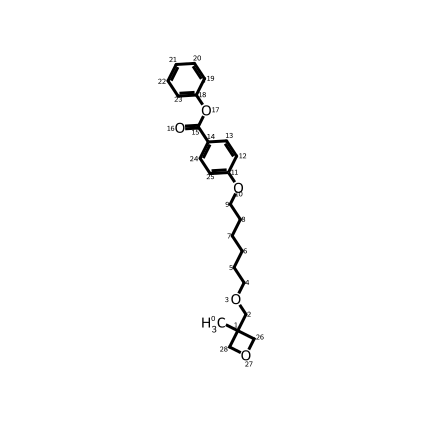 CC1(COCCCCCCOc2ccc(C(=O)Oc3[c]cccc3)cc2)COC1